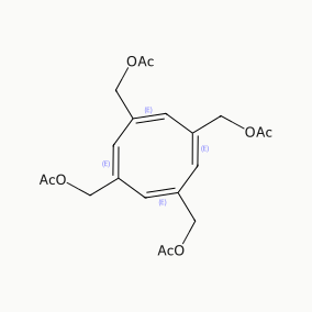 CC(=O)OCC1=C/C(COC(C)=O)=C\C(COC(C)=O)=C/C(COC(C)=O)=C\1